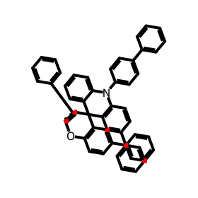 c1ccc(-c2ccc(N3c4ccccc4C4(c5cc(-c6ccccc6)ccc5Oc5ccc(-c6ccccc6)cc54)c4cc(-c5ccccc5)ccc43)cc2)cc1